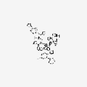 COC(=O)[C@H](CNC(=O)c1ccc(Cl)s1)NS(=O)(=O)c1cc(F)cc(N2CCCC2)c1Cl.O=C(O)C(F)(F)F